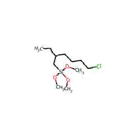 CCC(CCCCCl)C[Si](OC)(OC)OC